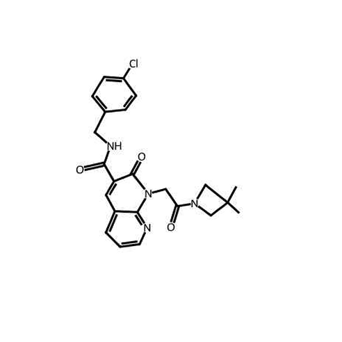 CC1(C)CN(C(=O)Cn2c(=O)c(C(=O)NCc3ccc(Cl)cc3)cc3cccnc32)C1